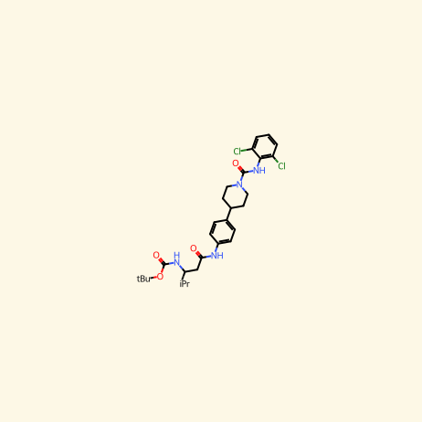 CC(C)C(CC(=O)Nc1ccc(C2CCN(C(=O)Nc3c(Cl)cccc3Cl)CC2)cc1)NC(=O)OC(C)(C)C